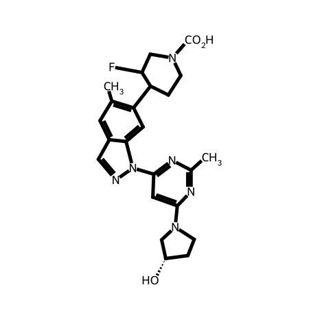 Cc1nc(N2CC[C@H](O)C2)cc(-n2ncc3cc(C)c(C4CCN(C(=O)O)CC4F)cc32)n1